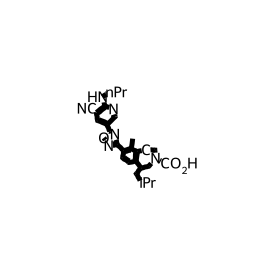 CCCNc1ncc(-c2nc(-c3ccc4c(c3C)CCN(C(=O)O)CC4CC(C)C)no2)cc1C#N